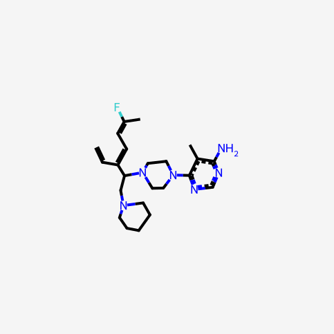 C=C/C(=C\C=C(/C)F)C(CN1CCCCC1)N1CCN(c2ncnc(N)c2C)CC1